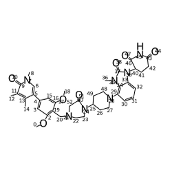 COc1cc(-c2cn(C)c(=O)c(C)c2C)cc(OC)c1CN1CCN(C2CCN(c3cccc4c3n(C)c(=O)n4C3CCC(=O)NC3=O)CC2)C(=O)C1